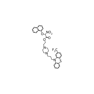 O=C(OCCN1CCN(CCCN2c3ccccc3Sc3ccc(C(F)(F)F)cc32)CC1)C(Oc1cccc2ccccc12)[N+](=O)[O-]